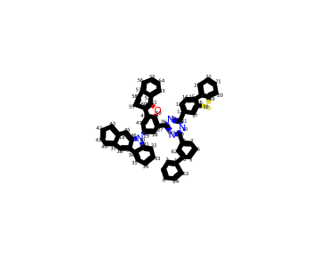 c1ccc(-c2cccc(-c3nc(-c4ccc5c(c4)sc4ccccc45)nc(-c4cc(-n5c6ccccc6c6cc7ccccc7cc65)cc5c4oc4c6ccccc6ccc54)n3)c2)cc1